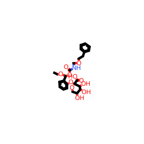 CCOC(OC(=O)NCOCCc1ccccc1)c1ccccc1OC1(C(=O)O)OCC(O)C(O)C1O